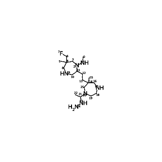 CNN1CC(C)(CF)CNCC1CCC1(C)CNCCN(C(C)NN)C1